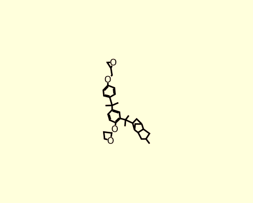 CC1CC2C3CC(C2C1)C(C(C)(C)c1cc(C(C)(C)c2ccc(OCC4CO4)cc2)ccc1OC1CCO1)C3